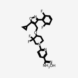 N/C(=N\O)c1ccc(N2CCC(OCc3c(-c4c(F)cccc4F)noc3C3CC3)C(F)(F)C2)nc1